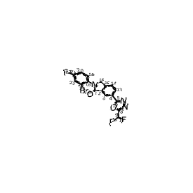 O=C1c2cc(-c3nnc(C(F)F)o3)ccc2CN1c1ccc(F)cc1Br